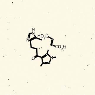 Cc1cn(C)c(C)c1C(=O)CCc1nc[nH]c1C.O=C(O)C=CC(=O)O